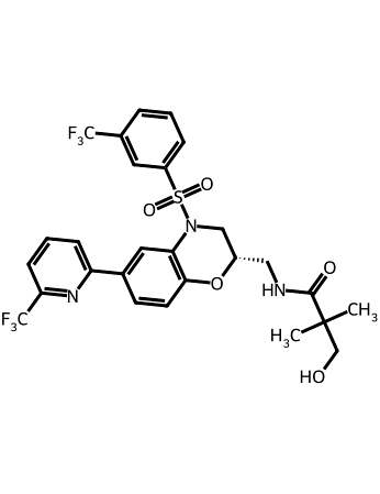 CC(C)(CO)C(=O)NC[C@H]1CN(S(=O)(=O)c2cccc(C(F)(F)F)c2)c2cc(-c3cccc(C(F)(F)F)n3)ccc2O1